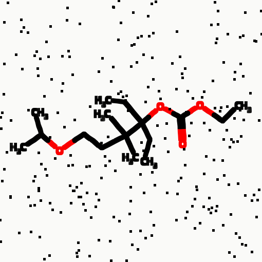 CCOC(=O)OC(CC)(CC)C(C)(C)CCOC(C)C